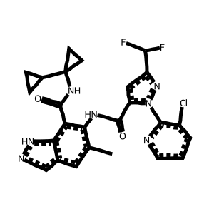 Cc1cc2cn[nH]c2c(C(=O)NC2(C3CC3)CC2)c1NC(=O)c1cc(C(F)F)nn1-c1ncccc1Cl